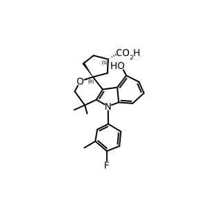 Cc1cc(-n2c3c(c4c(O)cccc42)[C@]2(CC[C@H](C(=O)O)C2)OCC3(C)C)ccc1F